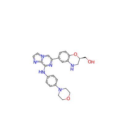 OC[C@H]1CNc2cc(-c3cn4ccnc4c(Nc4ccc(N5CCOCC5)cc4)n3)ccc2O1